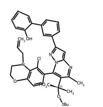 C=CCN1CCOc2ccc(-c3c([C@](C)(OC(C)(C)C)C(=O)O)c(C)nc4cc(-c5cccc(-c6ccccc6O)c5)nn34)c(Cl)c21